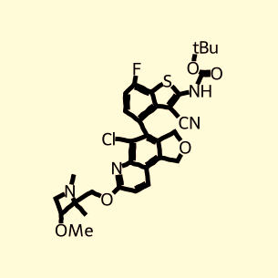 COC1CN(C)C1(C)COc1ccc2c3c(c(-c4ccc(F)c5sc(NC(=O)OC(C)(C)C)c(C#N)c45)c(Cl)c2n1)COC3